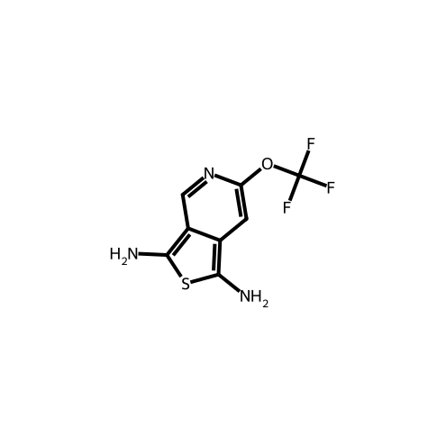 Nc1sc(N)c2cc(OC(F)(F)F)ncc12